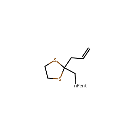 C=CCC1(CCCCCC)SCCS1